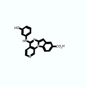 O=C(O)c1ccc2c(c1)cc1nc(Nc3cccc(O)c3)c3ccncc3n12